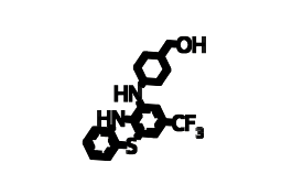 OCC1CCC(Nc2cc(C(F)(F)F)cc3c2Nc2ccccc2S3)CC1